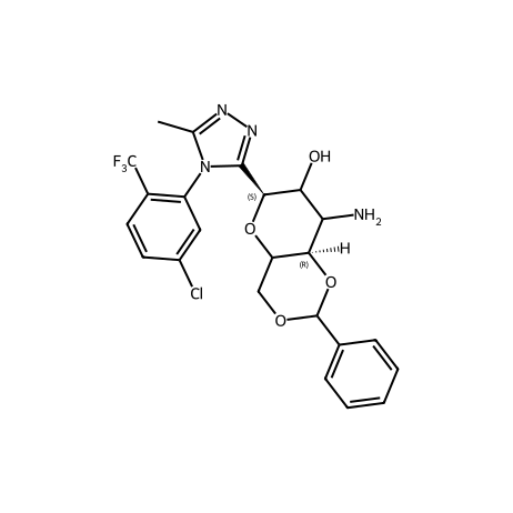 Cc1nnc([C@@H]2OC3COC(c4ccccc4)O[C@@H]3C(N)C2O)n1-c1cc(Cl)ccc1C(F)(F)F